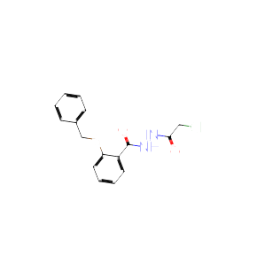 O=C(CCl)NNC(=O)c1ccccc1SCc1ccccc1